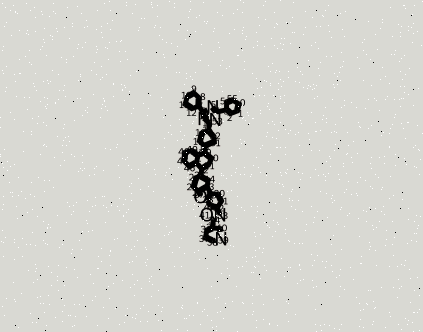 c1ccc(-c2nc(-c3ccccc3)nc(-c3ccc(-c4ccc(-c5ccc6oc7c(ccc8nc(-c9cccnc9)oc87)c6c5)c5ccccc45)cc3)n2)cc1